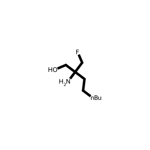 CCCCCCC(N)(CO)CF